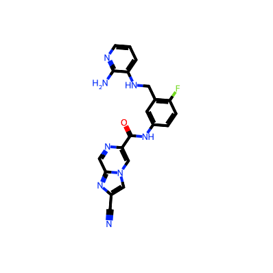 N#Cc1cn2cc(C(=O)Nc3ccc(F)c(CNc4cccnc4N)c3)ncc2n1